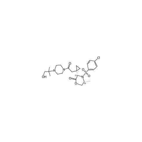 C[C@@H]1COC(=O)[C@H](C2(CC(=O)N3CCN(C(C)(C)CO)CC3)CC2)N1S(=O)(=O)c1ccc(Cl)cc1